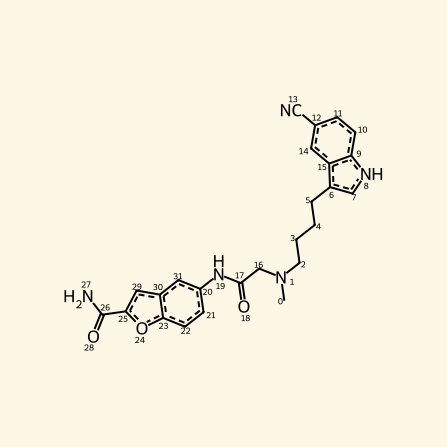 CN(CCCCc1c[nH]c2ccc(C#N)cc12)CC(=O)Nc1ccc2oc(C(N)=O)cc2c1